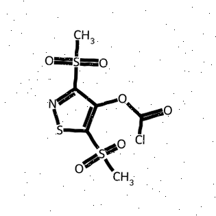 CS(=O)(=O)c1nsc(S(C)(=O)=O)c1OC(=O)Cl